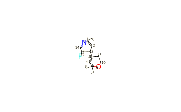 Cc1cc(C2=CC(C)(C)OCC2)c(F)cn1